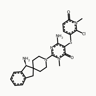 Cn1c(Cl)c(Sc2c(N)nc(N3CCC4(CC3)Cc3ccccc3[C@H]4N)n(C)c2=O)ccc1=O